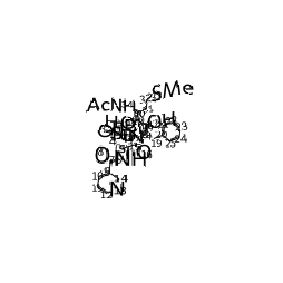 CCCCS(=O)(=O)C[C@@H](NC(=O)c1cccnc1)C(=O)N[C@@H](Cc1ccccc1)[C@@H](O)[C@H](O)[C@@H](CCSC)NC(C)=O